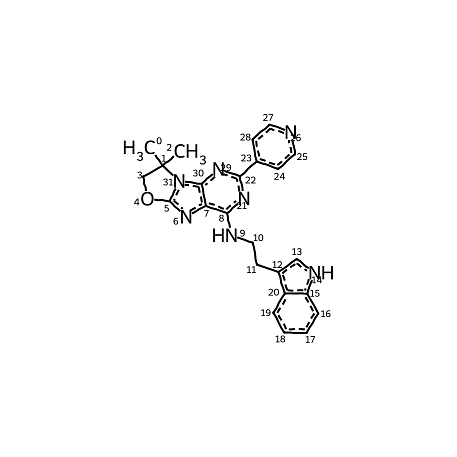 CC1(C)COc2nc3c(NCCc4c[nH]c5ccccc45)nc(-c4ccncc4)nc3n21